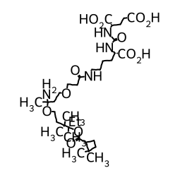 CCC(C)(OC(=O)C1CCC1(C)C)C(C)(C)CCOC(C)(N)CCOCCC(=O)NCCCC[C@H](NC(=O)N[C@@H](CCC(=O)O)C(=O)O)C(=O)O